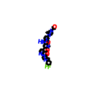 C[C@H]1CN(C2COC2)CCN1c1ccc(Nc2cc(-c3ccnc(N4CCn5c(cc6c5CC(F)(F)CC6)C4=O)c3C=O)cn(C)c2=O)nc1